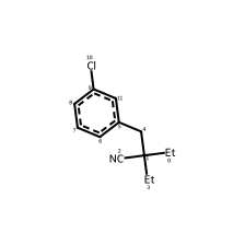 CCC(C#N)(CC)Cc1cccc(Cl)c1